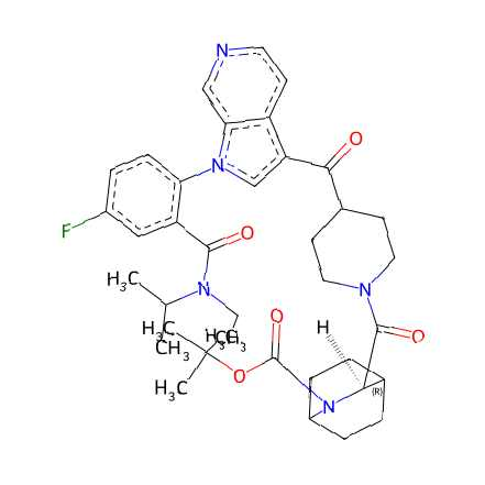 CCN(C(=O)c1cc(F)ccc1-n1cc(C(=O)C2CCN(C(=O)[C@H]3C4CCC(CC4)N3C(=O)OC(C)(C)C)CC2)c2ccncc21)C(C)C